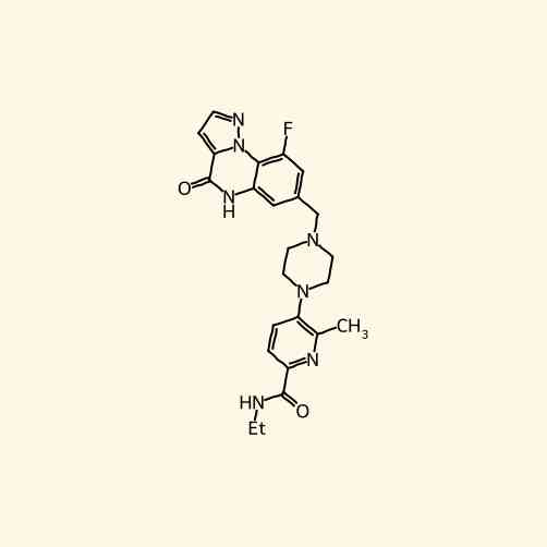 CCNC(=O)c1ccc(N2CCN(Cc3cc(F)c4c(c3)[nH]c(=O)c3ccnn34)CC2)c(C)n1